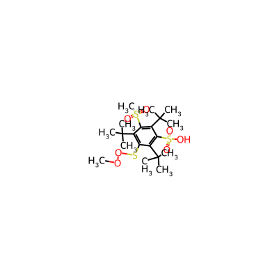 COOSc1c(C(C)(C)C)c(S(C)(=O)=O)c(C(C)(C)C)c(S(=O)(=O)O)c1C(C)(C)C